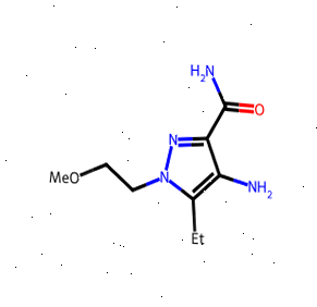 CCc1c(N)c(C(N)=O)nn1CCOC